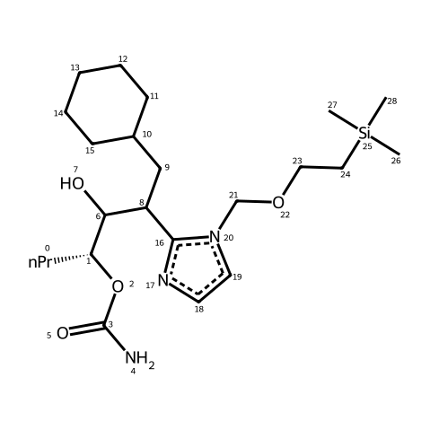 CCC[C@@H](OC(N)=O)C(O)C(CC1CCCCC1)c1nccn1COCC[Si](C)(C)C